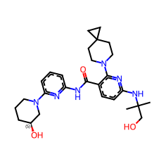 CC(C)(CO)Nc1ccc(C(=O)Nc2cccc(N3CCC[C@H](O)C3)n2)c(N2CCC3(CC2)CC3)n1